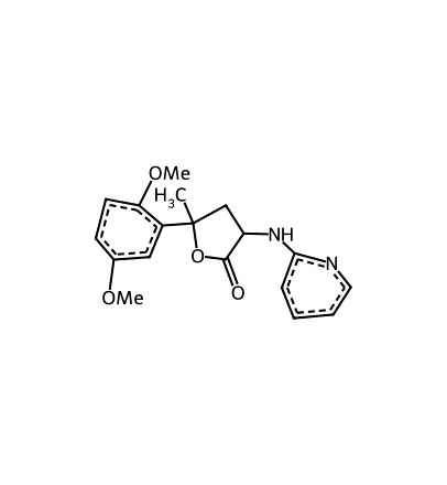 COc1ccc(OC)c(C2(C)CC(Nc3ccccn3)C(=O)O2)c1